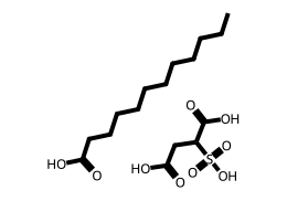 CCCCCCCCCCCC(=O)O.O=C(O)CC(C(=O)O)S(=O)(=O)O